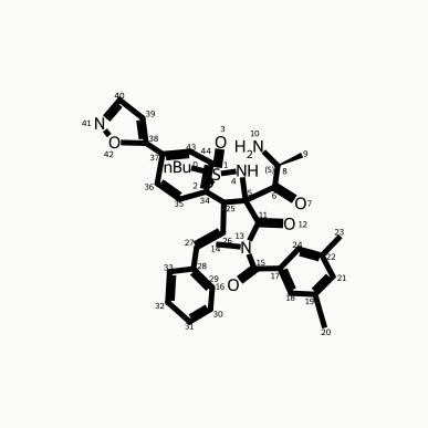 CCCCS(=O)(=O)NC(C(=O)[C@H](C)N)(C(=O)N(C)C(=O)c1cc(C)cc(C)c1)C(C=Cc1ccccc1)c1ccc(-c2ccno2)cc1